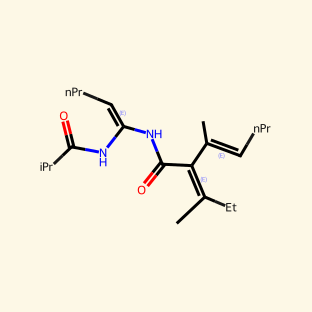 CCC/C=C(/NC(=O)C(/C(C)=C/CCC)=C(\C)CC)NC(=O)C(C)C